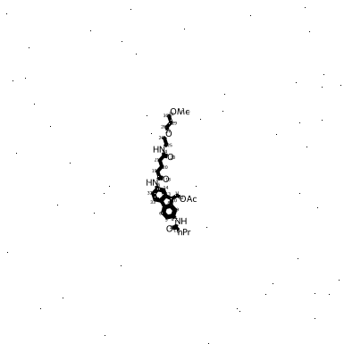 CCCC(=O)Nc1ccc2c(c1)C(COC(C)=O)c1cc(NC(=O)CCCC(=O)NCCOCCCOC)ccc1-2